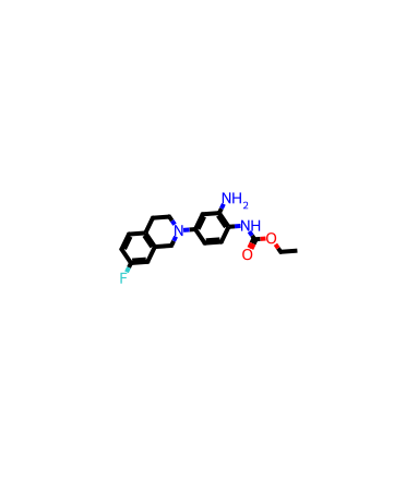 CCOC(=O)Nc1ccc(N2CCc3ccc(F)cc3C2)cc1N